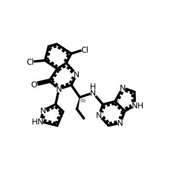 CC[C@H](Nc1ncnc2[nH]cnc12)c1nc2c(Cl)ccc(Cl)c2c(=O)n1-c1cc[nH]n1